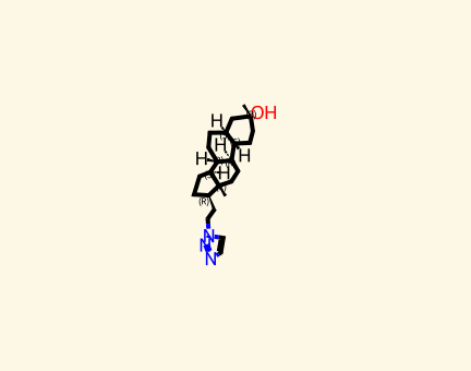 C[C@@]1(O)CC[C@H]2[C@@H](CC[C@@H]3[C@@H]2CC[C@]2(C)[C@@H](CCn4ccnn4)CC[C@@H]32)C1